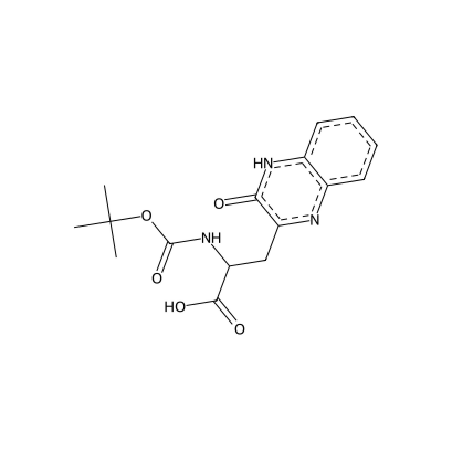 CC(C)(C)OC(=O)NC(Cc1nc2ccccc2[nH]c1=O)C(=O)O